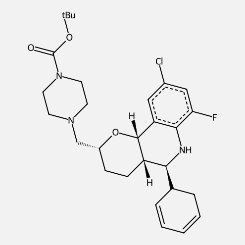 CC(C)(C)OC(=O)N1CCN(C[C@H]2CC[C@@H]3[C@H](O2)c2cc(Cl)cc(F)c2N[C@H]3C2C=CC=CC2)CC1